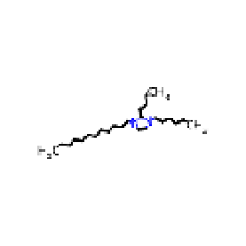 CCCCCCCCCCCCN1C=CN(CCCCCC)C1CCCC